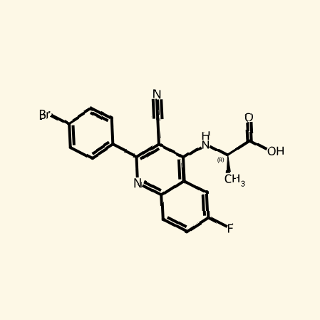 C[C@@H](Nc1c(C#N)c(-c2ccc(Br)cc2)nc2ccc(F)cc12)C(=O)O